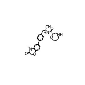 CN1C(=O)COc2ccc(-c3ccc(C[C@@H](C#N)NC(=O)[C@@H]4CNCCCO4)cc3)cc21